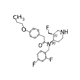 CCCOc1ccc(CC(=O)N(Cc2ccc(F)cc2F)[C@@H]2CCNC[C@@H]2CF)cc1